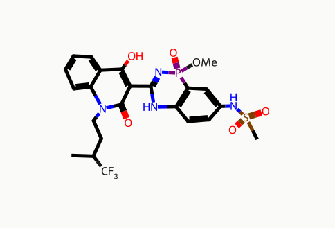 COP1(=O)N=C(c2c(O)c3ccccc3n(CCC(C)C(F)(F)F)c2=O)Nc2ccc(NS(C)(=O)=O)cc21